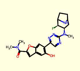 CN(C)C(=O)c1cc2cc(O)c(-c3cnc(N(C)[C@@H]4CC5CCC(N5)[C@@H]4F)nn3)cc2o1